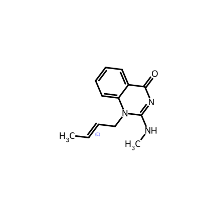 C/C=C/Cn1c(NC)nc(=O)c2ccccc21